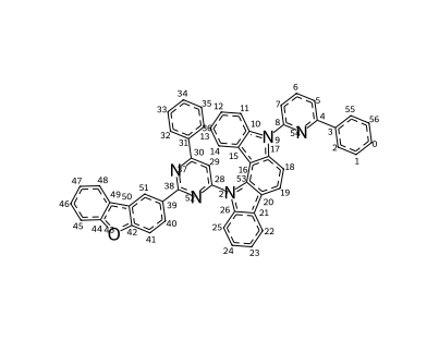 c1ccc(-c2cccc(-n3c4ccccc4c4c3ccc3c5ccccc5n(-c5cc(-c6ccccc6)nc(-c6ccc7oc8ccccc8c7c6)n5)c34)n2)cc1